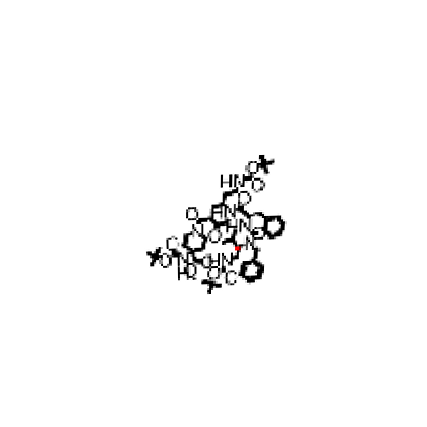 COC(=O)C1(NC(=O)OC(C)(C)C)CCN(C(=O)[C@H](CCCCNC(=O)OC(C)(C)C)C(=O)[C@@H](CC(C)C)NC(=O)[C@@H](Cc2ccccc2)NC(=O)N(CCNC(=O)OC(C)(C)C)Cc2ccccc2)CC1